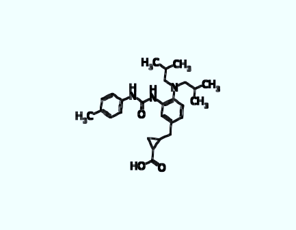 Cc1ccc(NC(=O)Nc2cc(CC3CC3C(=O)O)ccc2N(CC(C)C)CC(C)C)cc1